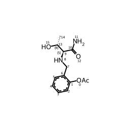 CC(=O)Oc1ccccc1CN[C@H](C(N)=O)[C@@H](C)O